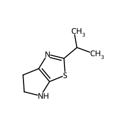 CC(C)c1nc2c(s1)NCC2